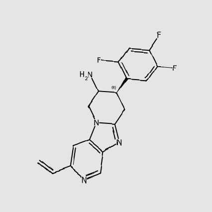 C=Cc1cc2c(cn1)nc1n2CC(N)[C@@H](c2cc(F)c(F)cc2F)C1